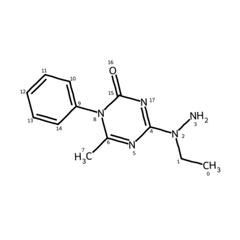 CCN(N)c1nc(C)n(-c2ccccc2)c(=O)n1